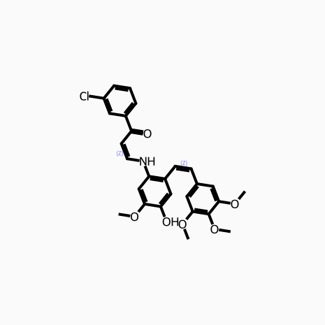 COc1cc(N/C=C\C(=O)c2cccc(Cl)c2)c(/C=C\c2cc(OC)c(OC)c(OC)c2)cc1O